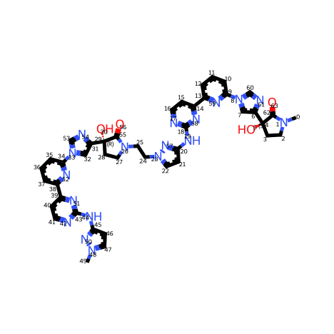 CN1CC[C@](O)(c2cn(-c3cccc(-c4ccnc(Nc5ccn(CCN6CC[C@@](O)(c7cn(-c8cccc(-c9ccnc(Nc%10ccn(C)n%10)n9)n8)cn7)C6=O)n5)n4)n3)cn2)C1=O